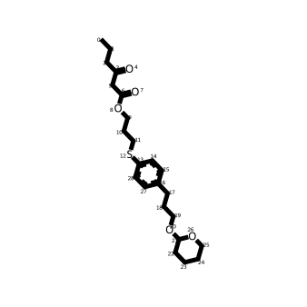 CCCC(=O)CC(=O)OCCCSc1ccc(CCCOC2CCCCO2)cc1